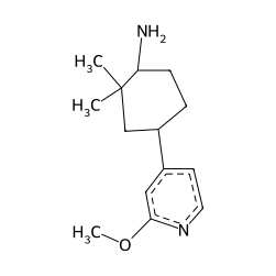 COc1cc(C2CCC(N)C(C)(C)C2)ccn1